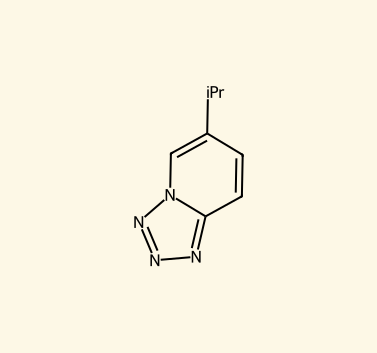 CC(C)c1ccc2nnnn2c1